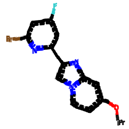 CC(C)Oc1ccn2cc(-c3cc(F)cc(Br)n3)nc2c1